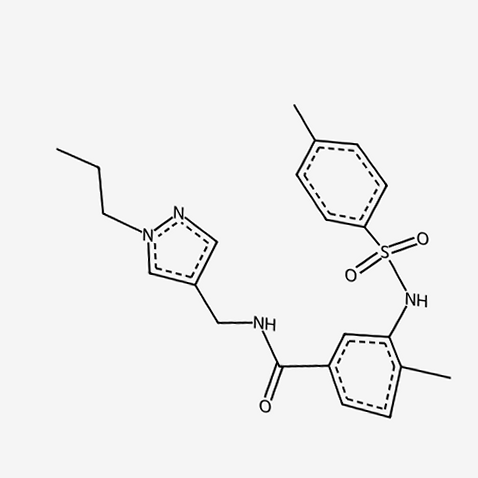 CCCn1cc(CNC(=O)c2ccc(C)c(NS(=O)(=O)c3ccc(C)cc3)c2)cn1